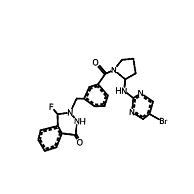 O=C1NN(Cc2cccc(C(=O)N3CCCC3Nc3ncc(Br)cn3)c2)C(F)c2ccccc21